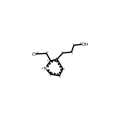 OCCCc1cccnc1CCl